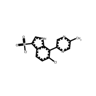 Cc1cnc(-c2c(Cl)ccc3c(S(=O)(=O)Cl)c[nH]c23)cn1